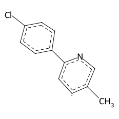 Cc1[c]cc(-c2ccc(Cl)cc2)nc1